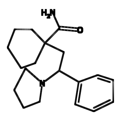 NC(=O)C1(CC(c2ccccc2)N2CCCC2)CCCCC1